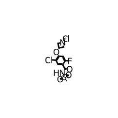 CS(=O)(=O)NC(=O)c1cc(Cl)c(OC2CN(Cl)C2)cc1F